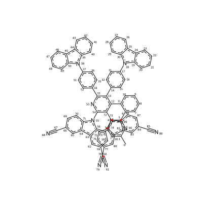 Cc1cccc(-c2ccccc2-c2c(-c3ccc(-n4c5ccccc5c5ccccc54)cc3)c(-c3ccc(-n4c5ccccc5c5ccccc54)cc3)nc(-n3c4ccc(C#N)cc4c4cc(C#N)ccc43)c2-n2c3ccc(C#N)cc3c3cc(C#N)ccc32)n1